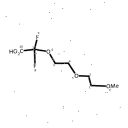 COCCOCCOC(F)(F)C(=O)O